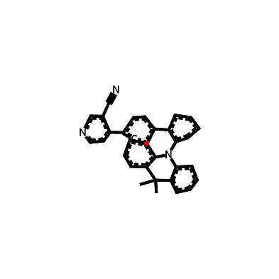 CC1(C)c2ccccc2N(c2ccccc2-c2ccc(-c3ccncc3C#N)cc2)c2ccccc21